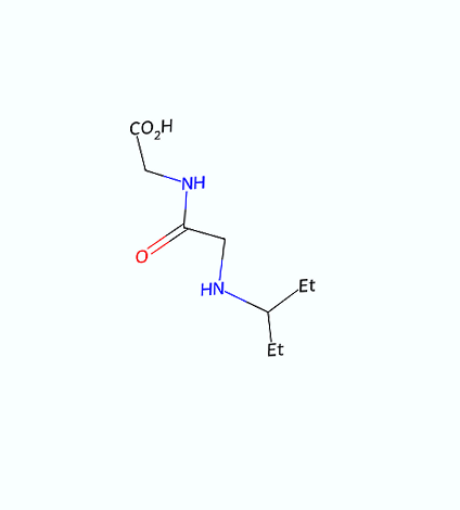 CCC(CC)NCC(=O)NCC(=O)O